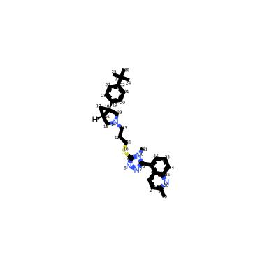 Cc1ccc2c(-c3nnc(SCCCN4C[C@@H]5C[C@]5(c5ccc(C(C)(C)C)cc5)C4)n3C)cccc2n1